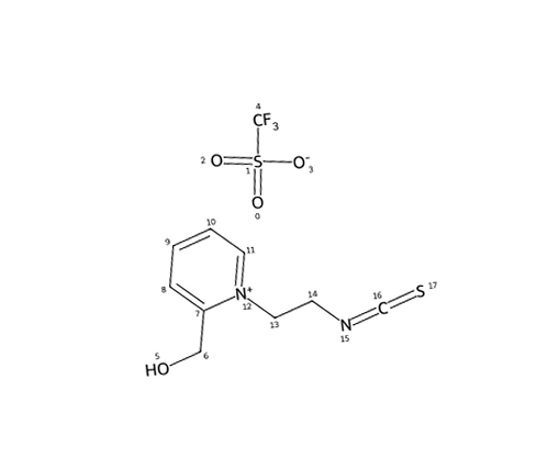 O=S(=O)([O-])C(F)(F)F.OCc1cccc[n+]1CCN=C=S